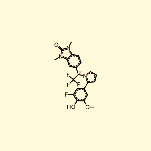 COc1cc(-c2cccn2[C@H](c2ccc3c(c2)n(C)c(=O)n3C)C(F)(F)F)cc(F)c1O